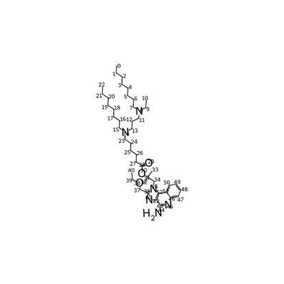 CCCCCCCCN(CC)CCCN(CCCCCCCC)CCCCCC(=O)OC(C)(C)Cn1c(COCC)nc2c(N)nc3ccccc3c21